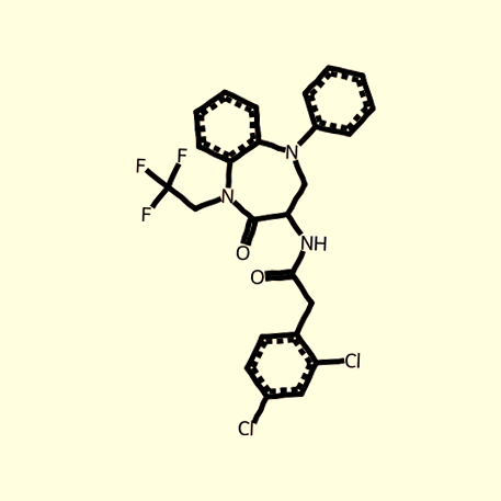 O=C(Cc1ccc(Cl)cc1Cl)NC1CN(c2ccccc2)c2ccccc2N(CC(F)(F)F)C1=O